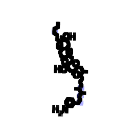 C=C/C=C\CCC1OC2CCC3(C)OC4C(O)CC5(C)OC(CC/C=C(C)/C(C)=C/C=C\c6cccc(N)c6)C(C)CC5OC4CC3OC2CCC1(C)O